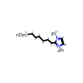 CCCCCCCCCCCCCCCCC1N(C(C)C)C=CN1C(C)C